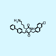 NCCCC[C@H]1C(=O)N[C@@H](Cc2ccc3cc(Cl)ccc3c2)C(=O)N1Cc1ccc(-c2ccccc2)cc1